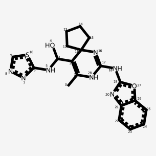 CC1=C(C(O)Nc2nncs2)C2(CCCC2)N=C(Nc2nc3ccccc3o2)N1